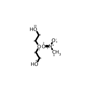 C[N+](=O)[O-].OCCOCCO